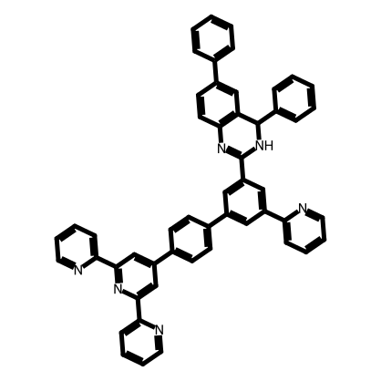 c1ccc(-c2ccc3c(c2)C(c2ccccc2)NC(c2cc(-c4ccc(-c5cc(-c6ccccn6)nc(-c6ccccn6)c5)cc4)cc(-c4ccccn4)c2)=N3)cc1